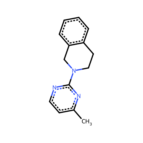 Cc1ccnc(N2CCc3ccccc3C2)n1